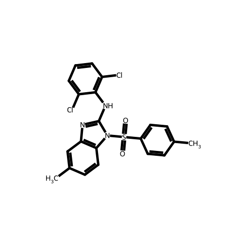 Cc1ccc(S(=O)(=O)n2c(Nc3c(Cl)cccc3Cl)nc3cc(C)ccc32)cc1